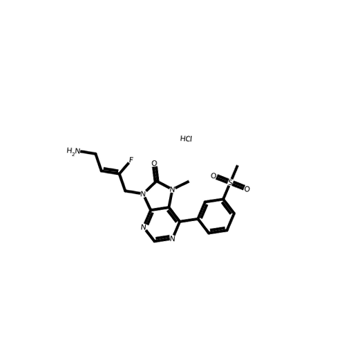 Cl.Cn1c(=O)n(CC(F)=CCN)c2ncnc(-c3cccc(S(C)(=O)=O)c3)c21